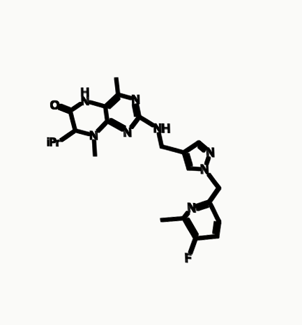 Cc1nc(Cn2cc(CNc3nc(C)c4c(n3)N(C)C(C(C)C)C(=O)N4)cn2)ccc1F